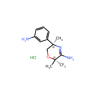 C[C@@]1(c2cccc(N)c2)CO[C@@](C)(C(F)(F)F)C(N)=N1.Cl